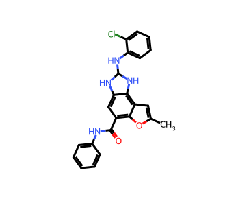 Cc1cc2c3c(cc(C(=O)Nc4ccccc4)c2o1)NC(Nc1ccccc1Cl)N3